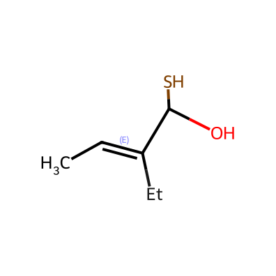 C/C=C(\CC)C(O)S